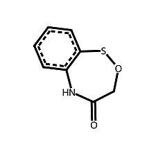 O=C1COSc2ccccc2N1